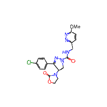 COc1ccc(CNC(=O)N2CC(N3CCOC3=O)C(c3ccc(Cl)cc3)=N2)nn1